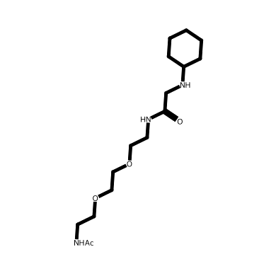 CC(=O)NCCOCCOCCNC(=O)CNC1CCCCC1